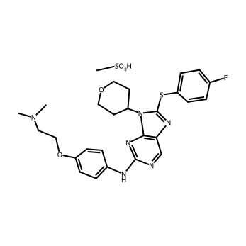 CN(C)CCOc1ccc(Nc2ncc3nc(Sc4ccc(F)cc4)n(C4CCOCC4)c3n2)cc1.CS(=O)(=O)O